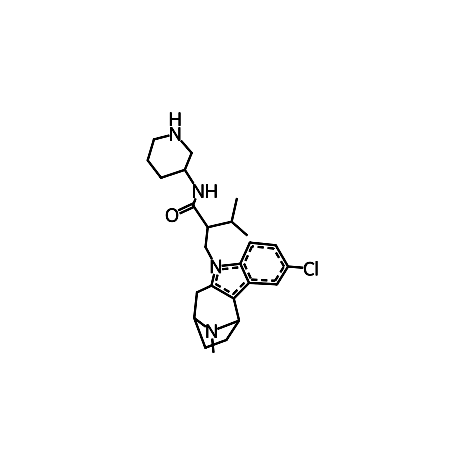 CC(C)C(Cn1c2c(c3cc(Cl)ccc31)C1CCC(C2)N1C)C(=O)NC1CCCNC1